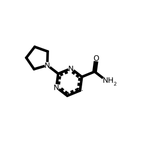 NC(=O)c1[c]cnc(N2CCCC2)n1